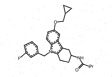 CC(C)C(=O)NC1CCc2c(c3cc(OCC4CC4)ccc3n2Cc2cccc(F)c2)C1